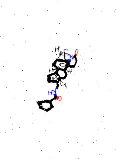 CN1C(=O)CC[C@]2(C)[C@H]3CC[C@]4(C)C(CNC(=O)c5ccccc5)CC[C@H]4[C@@H]3CC[C@@H]12